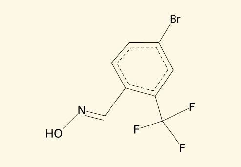 ON=Cc1ccc(Br)cc1C(F)(F)F